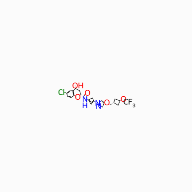 O=C(NC12CC(n3cc(OC[C@H]4C[C@@H](OC(F)(F)F)C4)cn3)(C1)C2)[C@H]1C[C@@H](O)c2cc(Cl)ccc2O1